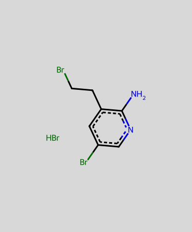 Br.Nc1ncc(Br)cc1CCBr